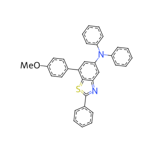 COc1ccc(-c2cc(N(c3ccccc3)c3ccccc3)cc3nc(-c4ccccc4)sc23)cc1